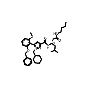 CCCCNC(=O)C[C@H](CC(C)C)NC(=O)c1cc(-c2c(OC)cccc2OCc2ccccc2)n(CC2CCCCC2)n1